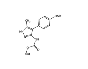 COc1ccc(-c2c(NC(=O)OC(C)(C)C)n[nH]c2C)cc1